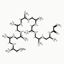 C=CC(=O)OC(C)COC(C)COC(C)COC(C)COC(C)COC(C)COC(C)COC(C)COC(C)COC